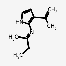 C=C(C)c1cc[nH]c1/N=C(\C)CC